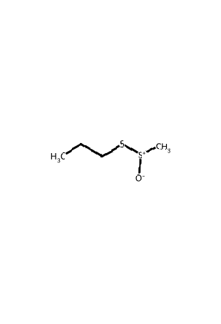 CCCS[S+](C)[O-]